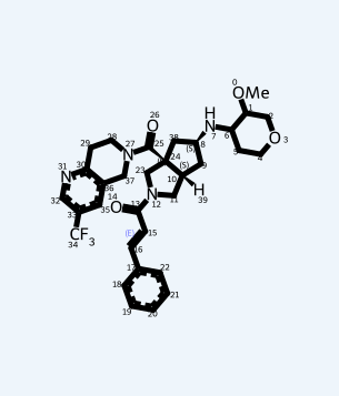 COC1COCCC1N[C@H]1C[C@@H]2CN(C(=O)/C=C/c3ccccc3)C[C@]2(C(=O)N2CCc3ncc(C(F)(F)F)cc3C2)C1